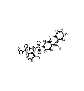 COC(=O)c1scc(C)c1NS(=O)(=O)c1ccc(OC)c(Cc2ccccc2)c1